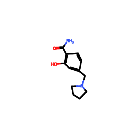 NC(=O)c1ccc(CN2CCCC2)cc1O